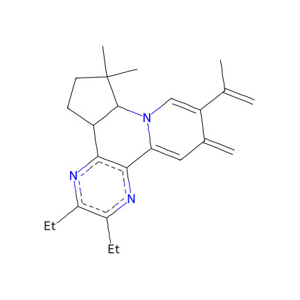 C=C(C)C1=CN2C(=CC1=C)c1nc(CC)c(CC)nc1C1CCC(C)(C)C12